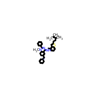 C=N/C(=N\C(NCc1cccc2sc(CCC(=C)C(=C)C)cc12)C1=CCCC(/C=C2\C=CC=CC2)=C1)c1ccccc1